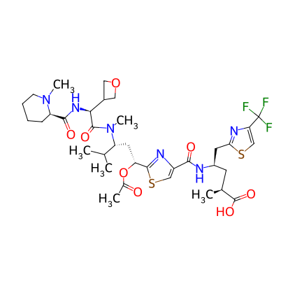 CC(=O)O[C@H](C[C@H](C(C)C)N(C)C(=O)[C@@H](NC(=O)[C@H]1CCCCN1C)C1COC1)c1nc(C(=O)N[C@@H](Cc2nc(C(F)(F)F)cs2)C[C@H](C)C(=O)O)cs1